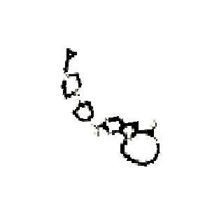 O=C1NCCCCCCn2c1cc1cnc(N[C@H]3CC[C@@H](N4CCN(CC5CC5)CC4)CC3)nc12